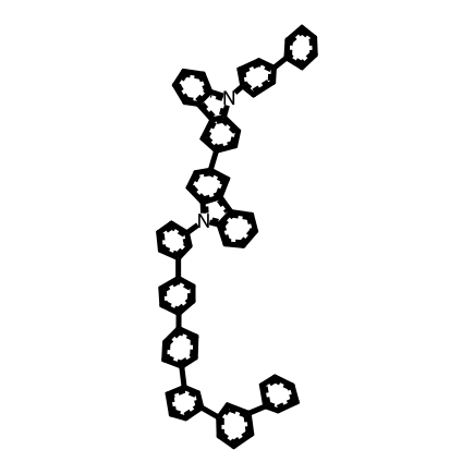 c1ccc(-c2ccc(-n3c4ccccc4c4cc(-c5ccc6c(c5)c5ccccc5n6-c5cccc(-c6ccc(-c7ccc(-c8cccc(-c9cccc(-c%10ccccc%10)c9)c8)cc7)cc6)c5)ccc43)cc2)cc1